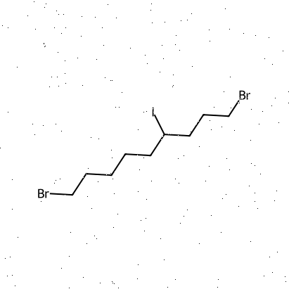 BrCCCCCC(I)CCCBr